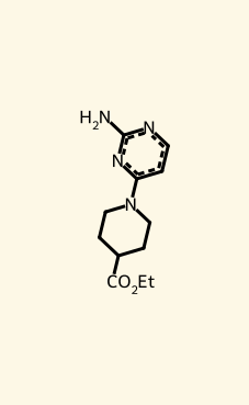 CCOC(=O)C1CCN(c2ccnc(N)n2)CC1